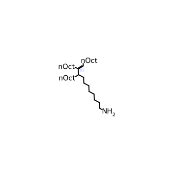 CCCCCCCC/C=C(\CCCCCCCC)C(CCCCCCCC)CCCCCCCCN